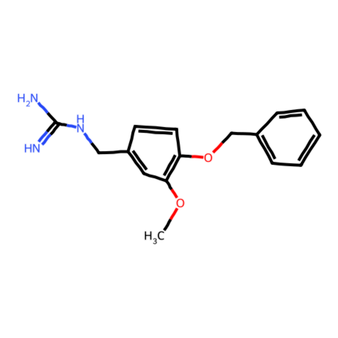 COc1cc(CNC(=N)N)ccc1OCc1ccccc1